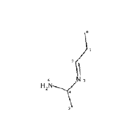 CCC=NC(C)N